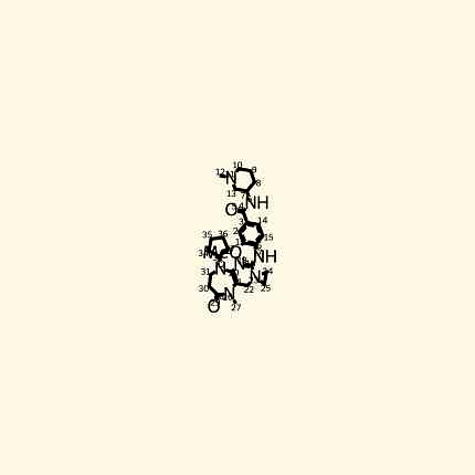 COc1cc(C(=O)NC2CCCN(C)C2)ccc1NC1=NC2=C(C[N+]13CC3)N(C)C(=O)CCN2C1CCCC1